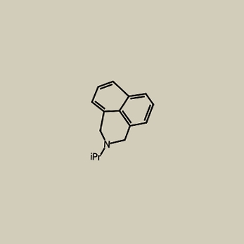 CC(C)N1Cc2cccc3cccc(c23)C1